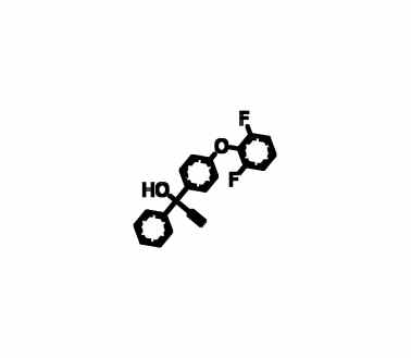 C#CC(O)(c1ccccc1)c1ccc(Oc2c(F)cccc2F)cc1